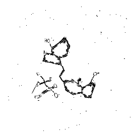 COc1cccc2ccc(C=Cc3ccnc4c(O)cccc34)[n+](C)c12.O=S(=O)([O-])C(F)(F)F